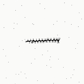 CCCCOCCCCCCCCCCCCCCCCCC(C)C